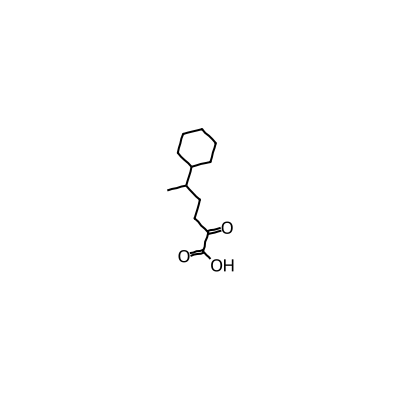 CC(CCC(=O)C(=O)O)C1CCCCC1